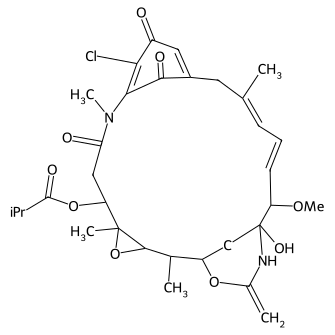 C=C1NC2(O)CC(O1)C(C)C1OC1(C)C(OC(=O)C(C)C)CC(=O)N(C)C1=C(Cl)C(=O)C=C(C/C(C)=C/C=C/C2OC)C1=O